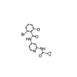 O=C(Nc1ccnc(NC(=O)C2CC2)c1)c1c(Cl)cccc1Br